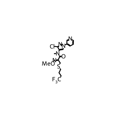 CON=C(CSCCCC(F)(F)F)C(=O)N(C)c1cn(-c2cccnc2)nc1Cl